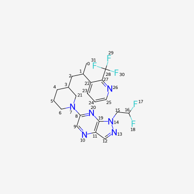 CC(CC1CCCN(c2cnc3cnn(CC(F)F)c3n2)C1)c1cccnc1C(F)(F)F